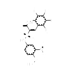 COc1ccc(NS(=O)(=O)C(=Cc2c(F)c(F)c(F)c(F)c2F)C(N)=O)cc1[N+](=O)[O-]